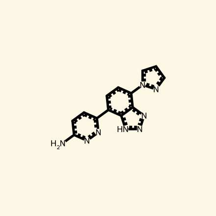 Nc1ccc(-c2ccc(-n3cccn3)c3nn[nH]c23)nn1